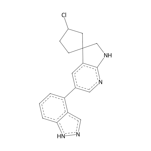 ClC1CCC2(CNc3ncc(-c4cccc5[nH]ncc45)cc32)C1